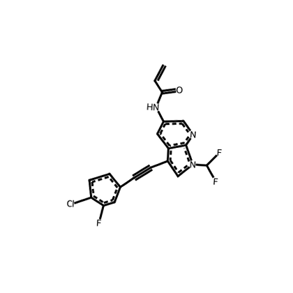 C=CC(=O)Nc1cnc2c(c1)c(C#Cc1ccc(Cl)c(F)c1)cn2C(F)F